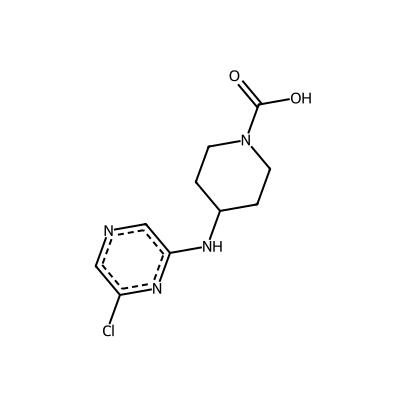 O=C(O)N1CCC(Nc2cncc(Cl)n2)CC1